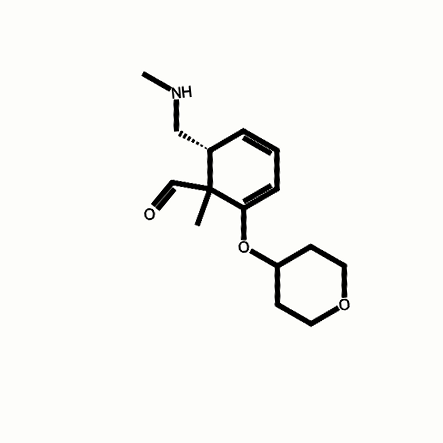 CNC[C@@H]1C=CC=C(OC2CCOCC2)C1(C)C=O